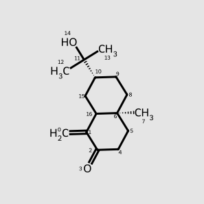 C=C1C(=O)CC[C@]2(C)CC[C@@H](C(C)(C)O)CC12